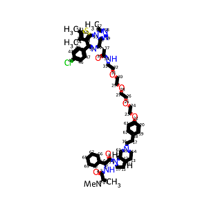 CN[C@@H](C)C(=O)N[C@H](C(=O)N1CC[C@@H]2CCN(CCc3ccc(OCCOCCOCCOCCNC(=O)C[C@@H]4N=C(c5ccc(Cl)cc5)c5c(sc(C)c5C)-n5c(C)nnc54)cc3)C[C@@H]21)C1CCCCC1